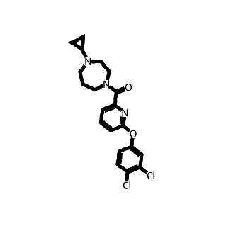 O=C(c1cccc(Oc2ccc(Cl)c(Cl)c2)n1)N1CCCN(C2CC2)CC1